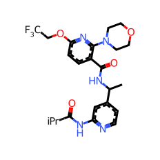 CC(C)C(=O)Nc1cc(C(C)NC(=O)c2ccc(OCC(F)(F)F)nc2N2CCOCC2)ccn1